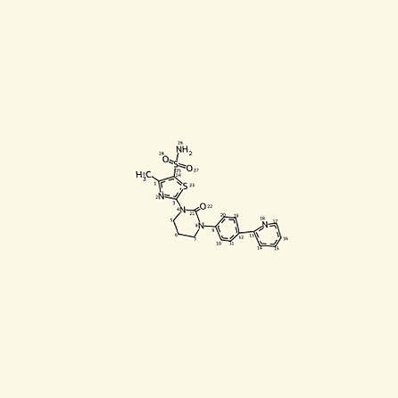 Cc1nc(N2CCCN(c3ccc(-c4ccccn4)cc3)C2=O)sc1S(N)(=O)=O